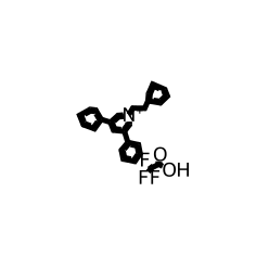 O=C(O)C(F)(F)F.c1ccc(CC[n+]2cc(-c3ccccc3)cc(-c3ccccc3)c2)cc1